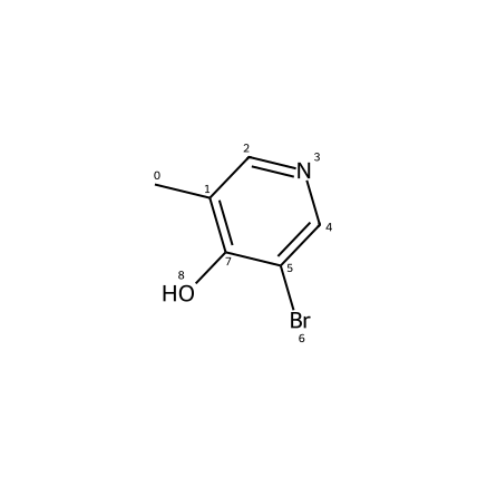 Cc1cncc(Br)c1O